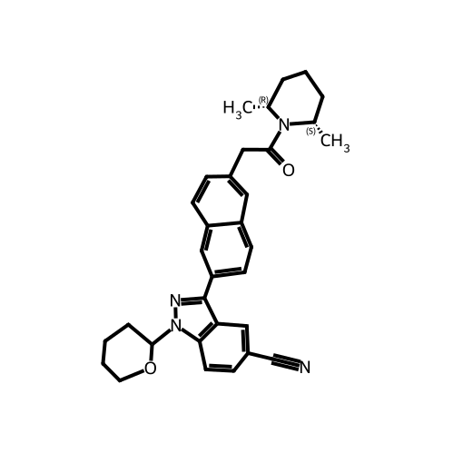 C[C@@H]1CCC[C@H](C)N1C(=O)Cc1ccc2cc(-c3nn(C4CCCCO4)c4ccc(C#N)cc34)ccc2c1